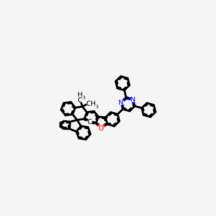 CC1(C)c2ccccc2C2(c3ccccc3-c3ccccc32)c2cc3oc4ccc(-c5cc(-c6ccccc6)nc(-c6ccccc6)n5)cc4c3cc21